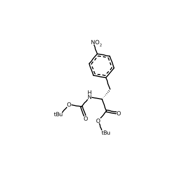 CC(C)(C)OC(=O)N[C@H](Cc1ccc([N+](=O)[O-])cc1)C(=O)OC(C)(C)C